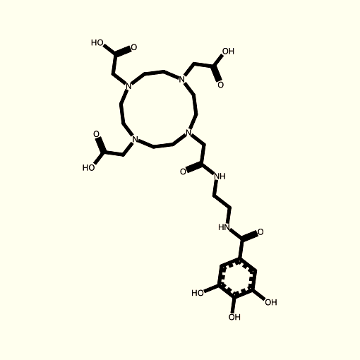 O=C(O)CN1CCN(CC(=O)O)CCN(CC(=O)NCCNC(=O)c2cc(O)c(O)c(O)c2)CCN(CC(=O)O)CC1